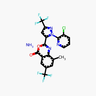 Cc1cc(C(F)(F)F)cc2c(=O)oc(-c3cc(C(F)(F)F)nn3-c3ncccc3Cl)nc12.N